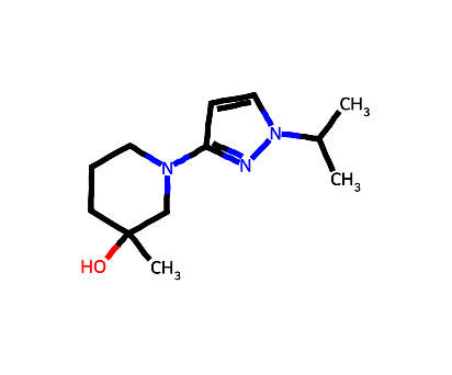 CC(C)n1ccc(N2CCCC(C)(O)C2)n1